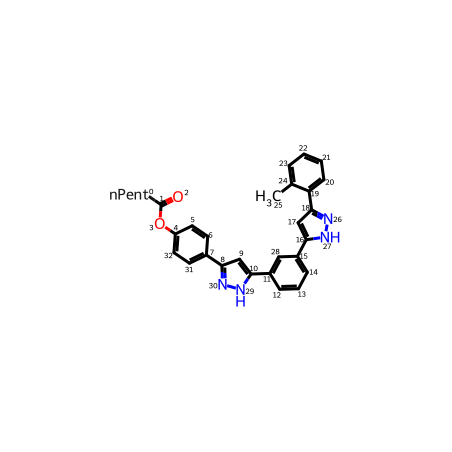 CCCCCC(=O)Oc1ccc(-c2cc(-c3cccc(-c4cc(-c5ccccc5C)n[nH]4)c3)[nH]n2)cc1